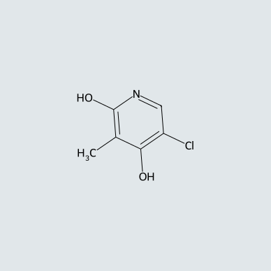 Cc1c(O)ncc(Cl)c1O